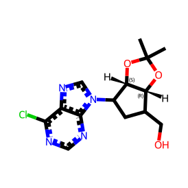 CC1(C)O[C@@H]2C(CO)CC(n3cnc4c(Cl)ncnc43)[C@@H]2O1